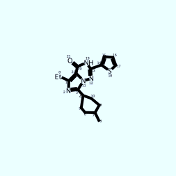 CCc1nc(C2CCC(C)CC2)n2nc(-c3cccs3)[nH]c(=O)c12